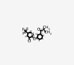 CN(C)C(=O)c1cccc(Oc2ncc(C(F)(F)F)cc2Cl)c1